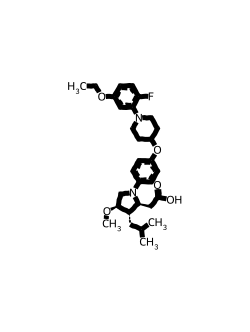 CCOc1ccc(F)c(N2CCC(Oc3ccc(N4C[C@H](OC)[C@@H](CC(C)C)[C@@H]4CC(=O)O)cc3)CC2)c1